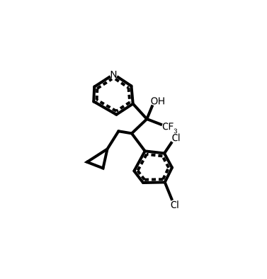 OC(c1cccnc1)(C(CC1CC1)c1ccc(Cl)cc1Cl)C(F)(F)F